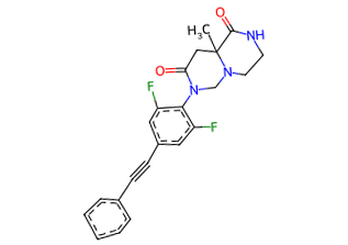 CC12CC(=O)N(c3c(F)cc(C#Cc4ccccc4)cc3F)CN1CCNC2=O